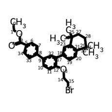 CCOC(=O)c1ccc(-c2ccc(OCCBr)c(-c3ccc4c(c3)C(C)(C)CCC4(C)C)c2)cc1